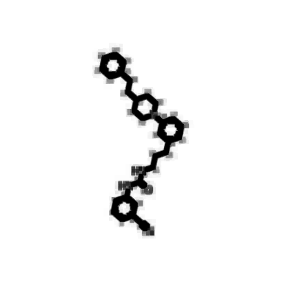 N#Cc1cccc(NC(=O)NCCCc2cccc(N3CCC(CCc4ccccc4)CC3)c2)c1